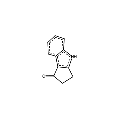 O=C1CCc2[nH]c3ccccc3c21